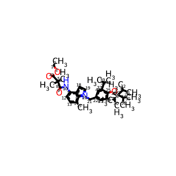 CCOC(=O)C(C)(C)C(=O)Nc1ccc(C)c2c1ccn2Cc1ccc(O[Si](C(C)C)(C(C)C)C(C)C)c(C(C)C)c1